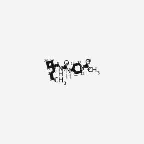 C/C=C\CC1(CNC(=O)NC2CCN(C(C)=O)CC2)CCC1